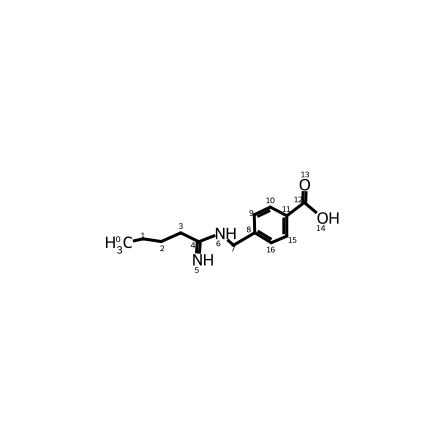 CCCCC(=N)NCc1ccc(C(=O)O)cc1